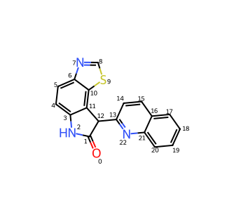 O=C1Nc2ccc3ncsc3c2C1c1ccc2ccccc2n1